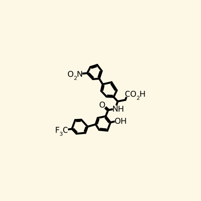 O=C(O)CC(NC(=O)c1cc(-c2ccc(C(F)(F)F)cc2)ccc1O)c1ccc(-c2cccc([N+](=O)[O-])c2)cc1